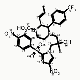 CC=C[C@H]1C(c2ccc(C(F)(F)F)cc2)N(CC(C)(O)Cn2cc([N+](=O)[O-])nc2S(=O)(=O)c2ccc([N+](=O)[O-])cc2)CCN1C(=O)O